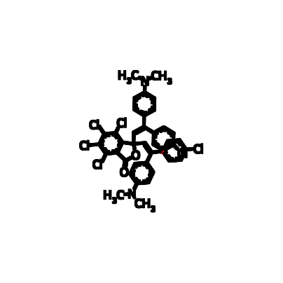 CN(C)c1ccc(C(=CC2(C=C(c3ccc(Cl)cc3)c3ccc(N(C)C)cc3)OC(=O)c3c(Cl)c(Cl)c(Cl)c(Cl)c32)c2ccc(Cl)cc2)cc1